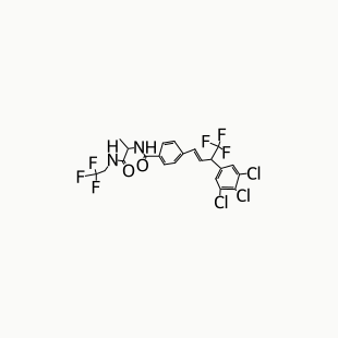 CC(NC(=O)c1ccc(/C=C/C(c2cc(Cl)c(Cl)c(Cl)c2)C(F)(F)F)cc1)C(=O)NCC(F)(F)F